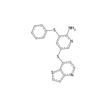 Nc1ncc(Sc2ccnc3ccsc23)cc1Sc1ccccc1